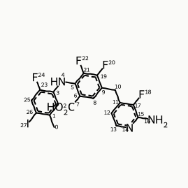 Cc1cc(Nc2c(C(=O)O)cc(Cc3ccnc(N)c3F)c(F)c2F)c(F)cc1I